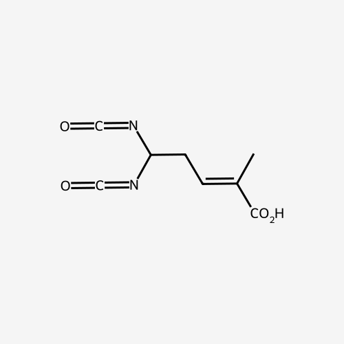 CC(=CCC(N=C=O)N=C=O)C(=O)O